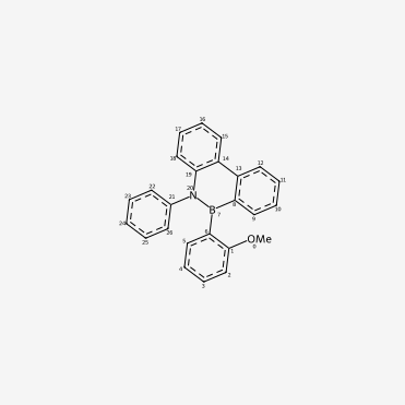 COc1ccccc1B1c2ccccc2-c2ccccc2N1c1ccccc1